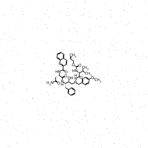 C=CCOC(=O)N[C@H](C(=O)NN(Cc1ccc(OC)cc1)C[C@H](O)[C@H](Cc1ccccc1)NC(=O)[C@H](CC(N)=O)NC(=O)c1ccc2ccccc2n1)C(C)C